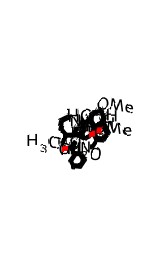 CO[C@H]1C[C@]2(O)C3CC(CC4C[C@H]1[C@H](OC)[C@@]42O)[C@@]1(OC(=O)c2ccccc2NC(=O)c2cccc(C#N)c2)C([C@H](C)N)CCCN3[C@H]1C